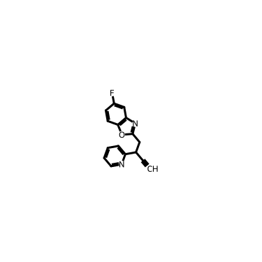 C#CC(Cc1nc2cc(F)ccc2o1)c1ccccn1